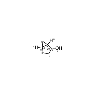 O[C@@H]1CC[C@@H]2C[C@@H]21